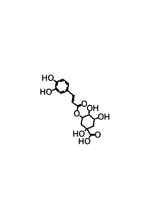 O=C(/C=C/c1ccc(O)c(O)c1)OC1C[C@@](O)(C(=O)O)C[C@H](O)[C@@H]1O